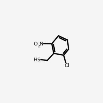 O=[N+]([O-])c1cccc(Cl)c1CS